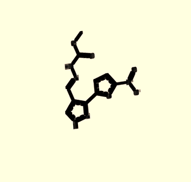 COC(=O)NN=Cc1c[nH]nc1-c1ccc([N+](=O)[O-])o1